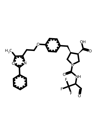 Cc1oc(-c2ccccc2)nc1CCOc1ccc(C[C@@H]2CN(C(=O)NC(C=O)C(F)(F)F)C[C@@H]2C(=O)O)cc1